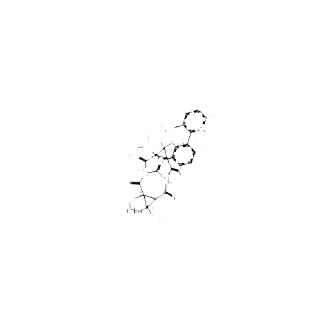 CC(C)(C)OC12C(=O)N3C(=O)C4(OC(C)(C)C)C(C(=O)N(C(=O)C1C2(C)C)C3=Nc1cccc(-c2ncccc2C#N)c1)C4(C)C